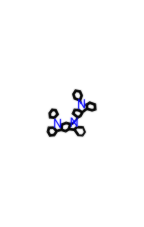 C1=c2c(n(-c3ccc4c(c3)c3ccccc3n4-c3ccccc3)c3cc4c(cc23)c2ccccc2n4-c2ccccc2)=CCC1